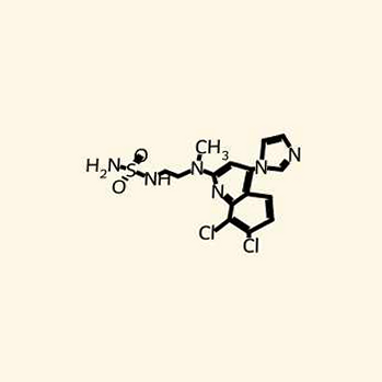 CN(CCNS(N)(=O)=O)c1cc(-n2ccnc2)c2ccc(Cl)c(Cl)c2n1